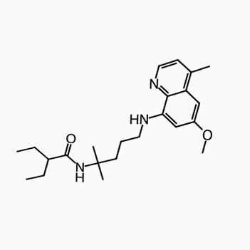 CCC(CC)C(=O)NC(C)(C)CCCNc1cc(OC)cc2c(C)ccnc12